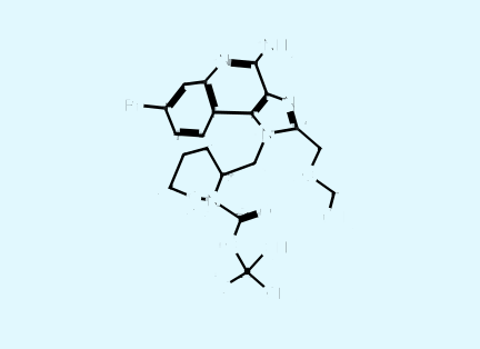 CCOCc1nc2c(N)nc3cc(Br)ccc3c2n1CC1CCCCN1C(=O)OC(C)(C)C